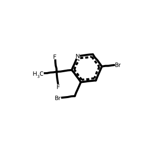 CC(F)(F)c1ncc(Br)cc1CBr